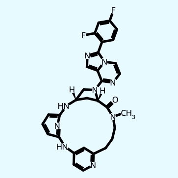 CN1CCCc2cc(ccn2)Nc2cccc(n2)N[C@H]2C[C@@H](C1=O)N(c1nccn3c(-c4ccc(F)cc4F)ncc13)C2